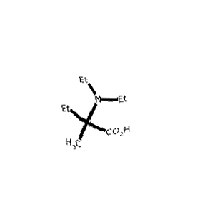 CCN(CC)C(C)(CC)C(=O)O